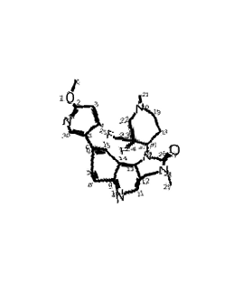 COc1ccc(-c2ccc3ncc4c(c3c2)n([C@@H]2CCN(C)CC2(F)F)c(=O)n4C)cn1